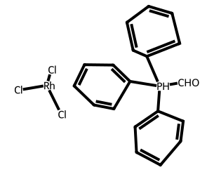 O=C[PH](c1ccccc1)(c1ccccc1)c1ccccc1.[Cl][Rh]([Cl])[Cl]